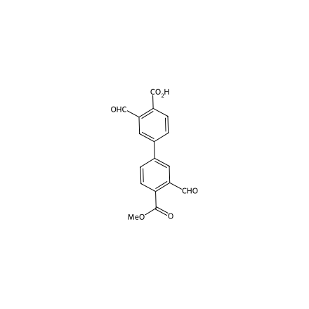 COC(=O)c1ccc(-c2ccc(C(=O)O)c(C=O)c2)cc1C=O